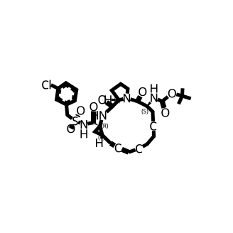 CC(C)(C)OC(=O)N[C@H]1CCCCCC=C=C[C@@H]2C[C@@]2(C(=O)NS(=O)(=O)Cc2cccc(Cl)c2)NC(=O)[C@@H]2CCCN2C1=O